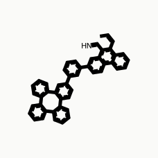 C/C=C\c1c(C=N)c2cc(-c3cccc(-c4ccc5c(c4)-c4ccccc4-c4ccccc4-c4ccccc4-5)c3)ccc2c2ccccc12